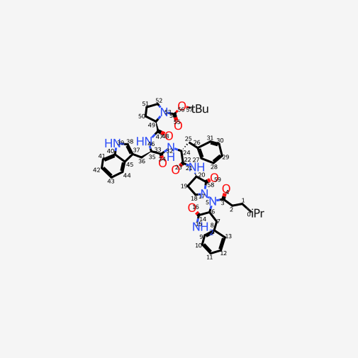 CC(C)CCC(=O)N(C(Cc1ccccc1)C(N)=O)N1CC[C@H](NC(=O)[C@@H](Cc2ccccc2)NC(=O)[C@@H](Cc2c[nH]c3ccccc23)NC(=O)[C@H]2CCCN2C(=O)OC(C)(C)C)C1=O